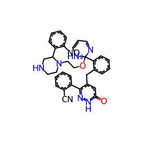 N#Cc1ccccc1-c1n[nH]c(=O)cc1Cc1ccccc1C1(OCCN2CCNCC2c2ccccc2[N+](=O)[O-])N=CC=CN1